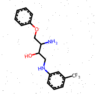 NC(COc1ccccc1)C(O)CNc1cccc(C(F)(F)F)c1